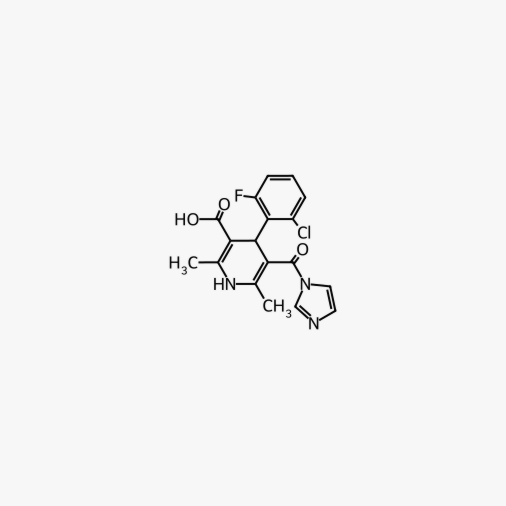 CC1=C(C(=O)O)C(c2c(F)cccc2Cl)C(C(=O)n2ccnc2)=C(C)N1